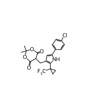 CC1(C)OC(=O)C(Cc2cc(-c3ccc(Cl)cc3)[nH]c2C2(C(F)(F)F)CC2)C(=O)O1